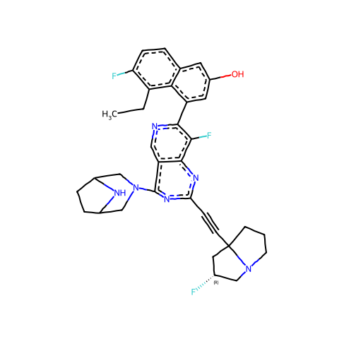 CCc1c(F)ccc2cc(O)cc(-c3ncc4c(N5CC6CCC(C5)N6)nc(C#CC56CCCN5C[C@H](F)C6)nc4c3F)c12